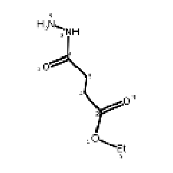 CCOC(=O)CCC(=O)NN